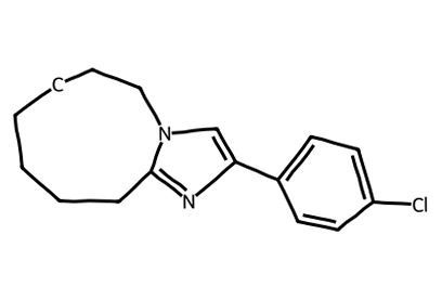 Clc1ccc(-c2cn3c(n2)CCCCCCC3)cc1